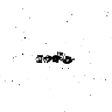 Fc1ccc(Nc2ncnc3cc(-c4ccc(N5CCOCC5)nc4)ccc23)cc1